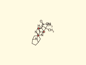 CC(C)(C)OC(=O)N1CC2CCC(C1)N2c1ncc(C(=O)O)cn1